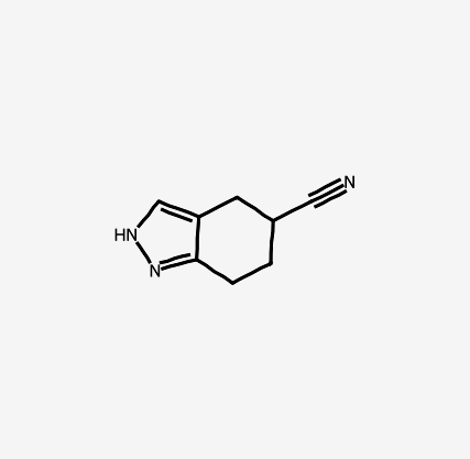 N#CC1CCc2n[nH]cc2C1